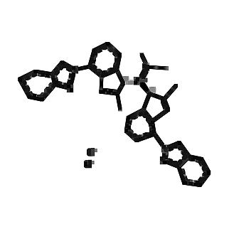 CC1=Cc2c(cccc2-n2cc3ccccc3n2)[C@@H]1[Zr+2]([C@H]1C(C)=Cc2c1cccc2-n1cc2ccccc2n1)=[Si](C)C.[Cl-].[Cl-]